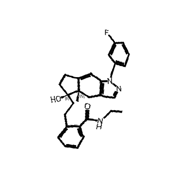 CCNC(=O)c1ccccc1CC[C@]1(O)CCC2=Cc3c(cnn3-c3cccc(F)c3)C[C@@]21C